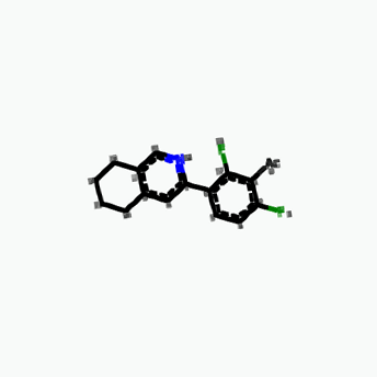 CC(=O)c1c(F)ccc(-c2cc3c(cn2)CCCC3)c1F